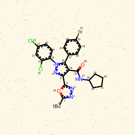 CC(C)(C)c1nnc(-c2nn(-c3ccc(Cl)cc3Cl)c(-c3ccc(Br)cc3)c2C(=O)NC2CCCC2)o1